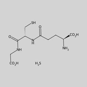 N[C@@H](CCC(=O)N[C@@H](CS)C(=O)NCC(=O)O)C(=O)O.S